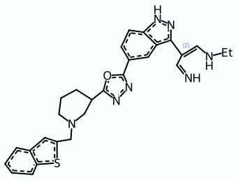 CCN/C=C(\C=N)c1n[nH]c2ccc(-c3nnc(C4CCCN(Cc5cc6ccccc6s5)C4)o3)cc12